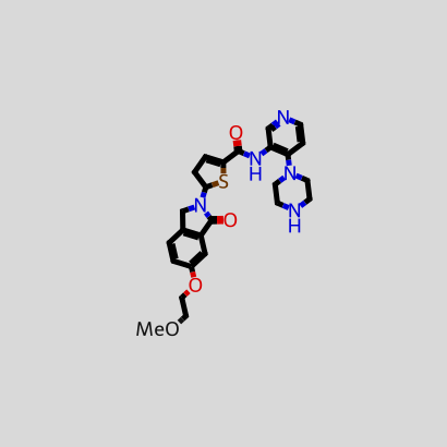 COCCOc1ccc2c(c1)C(=O)N(C1CC=C(C(=O)Nc3cnccc3N3CCNCC3)S1)C2